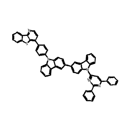 c1ccc(-c2cc(-n3c4ccccc4c4cc(-c5ccc6c(c5)c5ccccc5n6-c5ccc(-c6ccnc7c6sc6ccccc67)cc5)ccc43)nc(-c3ccccc3)n2)cc1